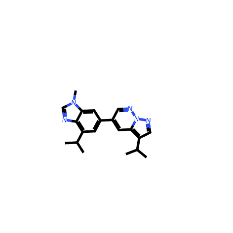 CC(C)c1cc(-c2cnn3ncc(C(C)C)c3c2)cc2c1ncn2C